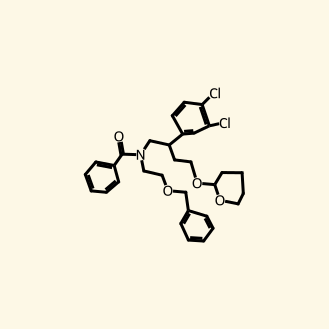 O=C(c1ccccc1)N(CCOCc1ccccc1)CC(CCOC1CCCCO1)c1ccc(Cl)c(Cl)c1